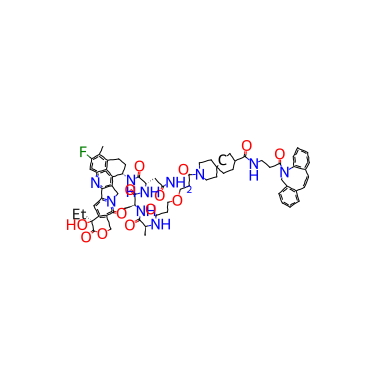 CC[C@@]1(O)C(=O)OCc2c1cc1n(c2=O)Cc2c-1nc1cc(F)c(C)c3c1c2[C@@H](NC(=O)[C@H](CC(N)=O)NC(=O)[C@H](C)NC(=O)[C@H](C)NC(=O)CCOCCC(=O)N1CCC2(CCC(C(=O)NCCC(=O)N4Cc5ccccc5/C=C\c5ccccc54)CC2)CC1)CC3